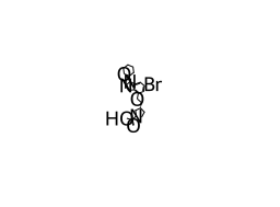 O=C(O)N1CC[C@H](COc2cc(Br)cc3c2cnn3C2CCCCO2)C1